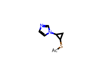 CC(=O)SC1CC1n1ccnc1